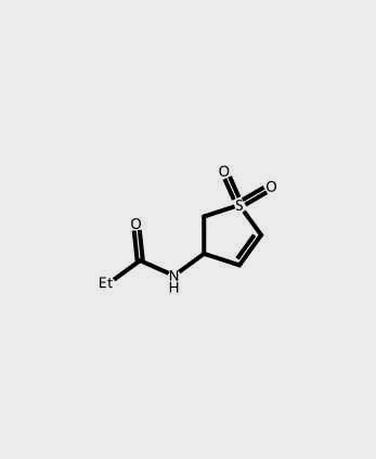 CCC(=O)NC1C=CS(=O)(=O)C1